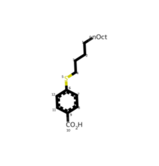 CCCCCCCCCCCCSc1ccc(C(=O)O)cc1